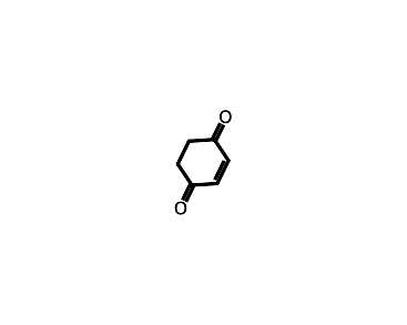 O=C1C=CC(=O)CC1